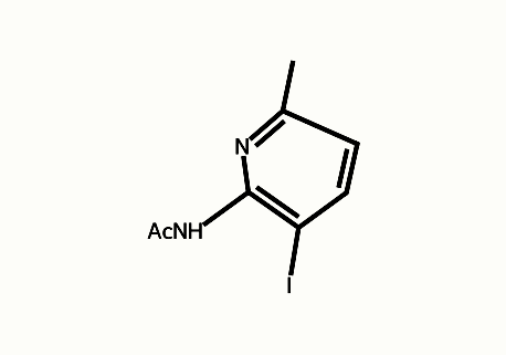 CC(=O)Nc1nc(C)ccc1I